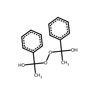 CC(O)(OOC(C)(O)c1ccccc1)c1ccccc1